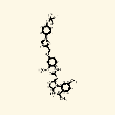 COc1cc(OCc2ncn(-c3ccc(OC(F)(F)F)cc3)n2)ccc1NC(=O)N=C1SCC(=O)N1c1cc(C)ccc1C(C)C